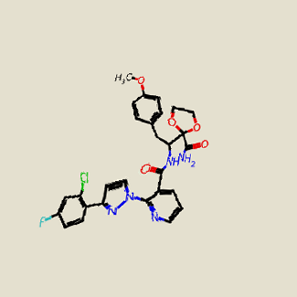 COc1ccc(CC(NC(=O)c2cccnc2-n2ccc(-c3ccc(F)cc3Cl)n2)C2(C(N)=O)OCCO2)cc1